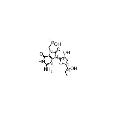 CC[C@H](O)[C@@H]1C[C@@H](O)[C@H](n2c(=O)n(C[C@H](C)O)c3c(=O)[nH]c(N)nc32)O1